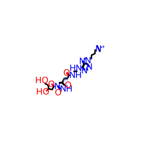 C[N+](C)(C)CCCCn1cnc2c(NCCNC(=O)/C=C/c3cn(C4CC(O)C(CO)O4)c(=O)[nH]c3=O)ncnc21